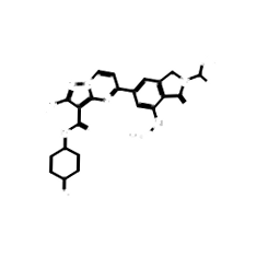 CSNc1cc(-c2ccn3nc(N)c(C(=O)NC4CCC(O)CC4)c3n2)cc2c1C(=O)N(C(C)C(F)(F)F)C2